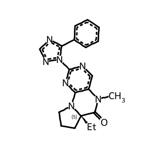 CC[C@@]12CCCN1c1nc(-n3ncnc3-c3ccccc3)ncc1N(C)C2=O